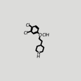 Cl.Clc1ccc(OCCC2CCNCC2)cc1Cl